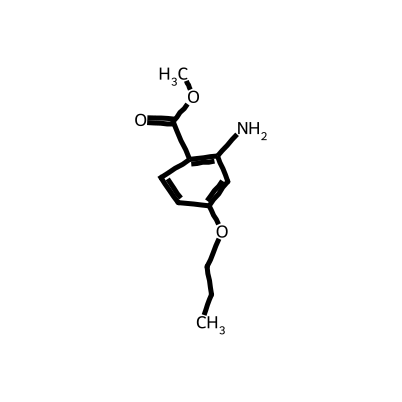 CCCOc1ccc(C(=O)OC)c(N)c1